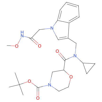 CONC(=O)Cn1cc(CN(C(=O)C2CN(C(=O)OC(C)(C)C)CCO2)C2CC2)c2ccccc21